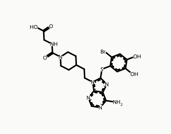 Nc1ncnc2c1nc(Sc1cc(O)c(O)cc1Br)n2CCC1CCN(C(=O)NCC(=O)O)CC1